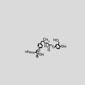 CCCCCC(COc1ccc(CC(C)NCC(O)COc2ccc(O)c(CO)c2)cc1)[PH](=O)O